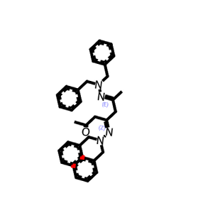 CC(=O)C/C(C/C(C)=N/N(Cc1ccccc1)Cc1ccccc1)=N\N(Cc1ccccc1)Cc1ccccc1